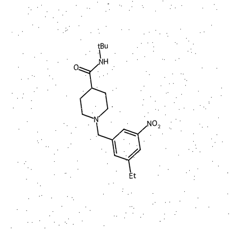 CCc1cc(CN2CCC(C(=O)NC(C)(C)C)CC2)cc([N+](=O)[O-])c1